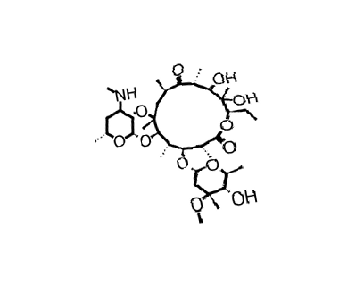 CC[C@H]1OC(=O)[C@H](C)[C@@H](O[C@H]2C[C@@](C)(OC)[C@@H](O)[C@H](C)O2)[C@H](C)[C@@H](O[C@H]2CC(NC)C[C@@H](C)O2)[C@](C)(OC)C[C@@H](C)C(=O)[C@H](C)C(O)[C@]1(C)O